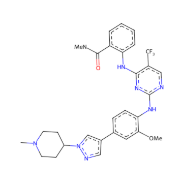 CNC(=O)c1ccccc1Nc1nc(Nc2ccc(-c3cnn(C4CCN(C)CC4)c3)cc2OC)ncc1C(F)(F)F